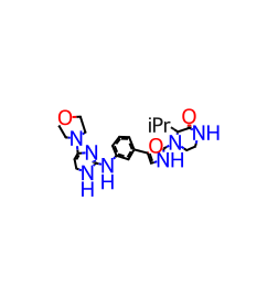 CC(C)C1C(=O)NCCN1C1NC=C(c2cccc(NC3=NC(N4CCOCC4)=CCN3)c2)O1